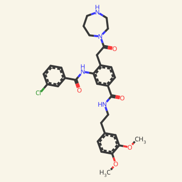 COc1ccc(CCNC(=O)c2ccc(CC(=O)N3CCCNCC3)c(NC(=O)c3cccc(Cl)c3)c2)cc1OC